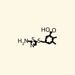 Cc1cc(CSc2cnc(N)s2)cc(C(=O)O)c1C